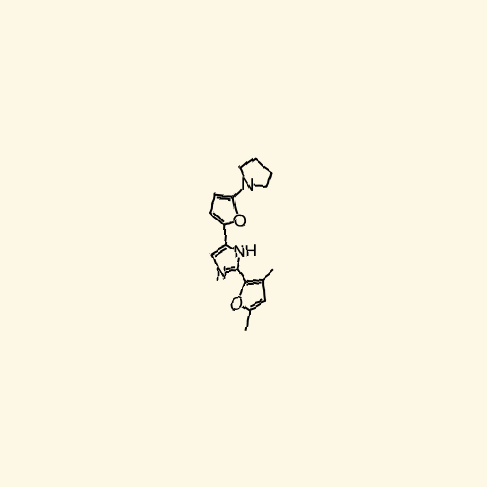 Cc1cc(C)c(-c2ncc(-c3ccc(N4CCCC4)o3)[nH]2)o1